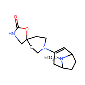 CCOC(=O)N1C2C=C(N3CCC4(CC3)CNC(=O)O4)CC1CC2